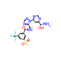 C[C@H](NC(=O)c1cc(C(F)(F)F)cc(S(C)(=O)=O)c1)c1ncnn1-c1cc(C(N)O)ncn1